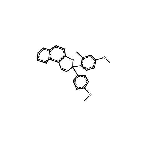 COc1ccc(C2(c3ccc(OC)cc3C)C=Cc3c(ccc4ccccc34)O2)cc1